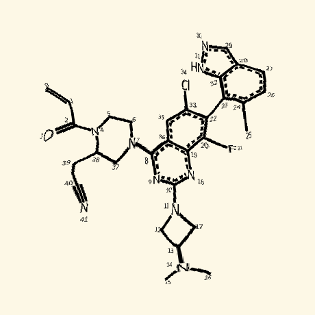 C=CC(=O)N1CCN(c2nc(N3CC(N(C)C)C3)nc3c(F)c(-c4c(C)ccc5cn[nH]c45)c(Cl)cc23)CC1CC#N